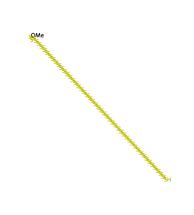 COS(=S)(=S)SSSSSSSSSSSSSSSSSSSSSSSSSSSSSSSSSSSSSSSSSSSSSSSSSSSSSSSSSSSSSSSSSSSSSSSSSSSSSSSSSSSSSSSSSSSSSS